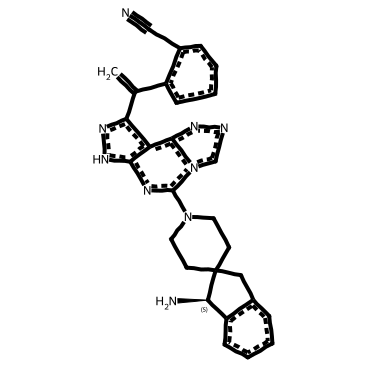 C=C(c1ccccc1C#N)c1n[nH]c2nc(N3CCC4(CC3)Cc3ccccc3[C@H]4N)n3cnnc3c12